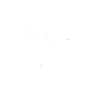 C1=C(c2cccc3c(-c4ccccc4)c4cccc(-c5ccc6oc7ccccc7c6c5)c4cc23)CC2C(=C1)Oc1ccccc12